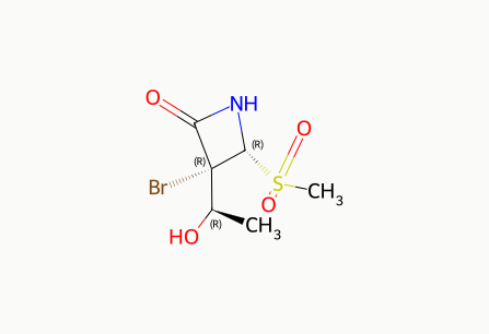 C[C@@H](O)[C@@]1(Br)C(=O)N[C@@H]1S(C)(=O)=O